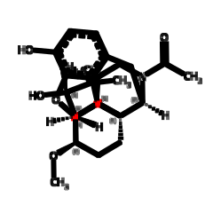 CO[C@]12CC[C@@]3(C[C@@H]1[C@](C)(O)C(C)(C)C)[C@H]1Cc4ccc(O)c5c4[C@@]3(CCN1C(C)=O)[C@H]2O5